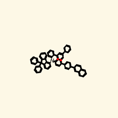 c1ccc(-c2cccc(-c3ccccc3N(c3ccc(-c4ccc(-c5ccc6ccccc6c5)cc4)cc3)c3cccc4c3-c3ccccc3C4(c3ccccc3)c3ccccc3)c2)cc1